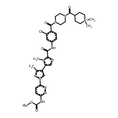 Cn1c(-c2cn(-c3ccc(NC(=O)OC(C)(C)C)nn3)nc2C(F)(F)F)cnc1C(=O)Nc1ccc(C(=O)N2CCN(C(=O)C3CC[N+](C)(C)CC3)CC2)c(Cl)c1